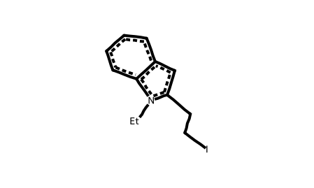 CCn1c(CCI)cc2ccccc21